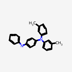 Cc1cccc(N(c2ccc([N]c3ccccc3)cc2)c2cccc(C)c2)c1